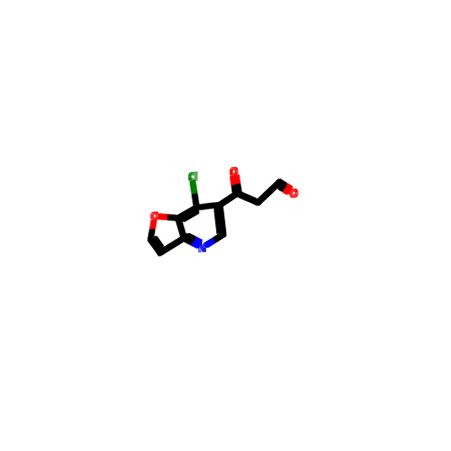 O=CCC(=O)c1cnc2ccoc2c1Cl